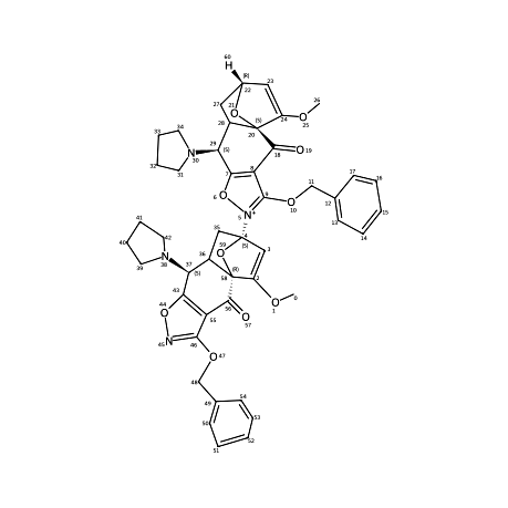 COC1=C[C@]2([n+]3oc4c(c3OCc3ccccc3)C(=O)[C@@]35O[C@@H](C=C3OC)CC5[C@@H]4N3CCCC3)CC3[C@H](N4CCCC4)c4onc(OCc5ccccc5)c4C(=O)[C@]13O2